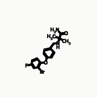 CC(C)(NCc1ccc(Oc2ccc(F)cc2Br)cc1)C(N)=O